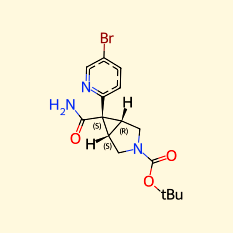 CC(C)(C)OC(=O)N1C[C@@H]2[C@H](C1)[C@@]2(C(N)=O)c1ccc(Br)cn1